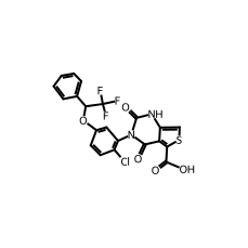 O=C(O)c1scc2[nH]c(=O)n(-c3cc(OC(c4ccccc4)C(F)(F)F)ccc3Cl)c(=O)c12